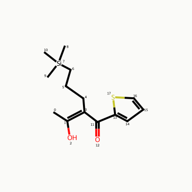 C/C(O)=C(\CCC[Si](C)(C)C)C(=O)c1cccs1